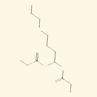 O=C(CS)OC(CCCOCCO)OC(=O)CS